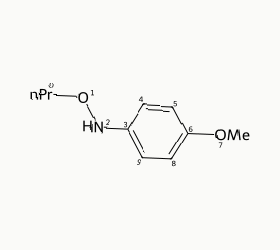 CCCONc1ccc(OC)cc1